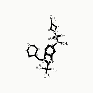 CN(c1ccc2c(c1)nc(C(C)(C)C)n2CC1CCOCC1)S(=O)(=O)N1CC(N)C1